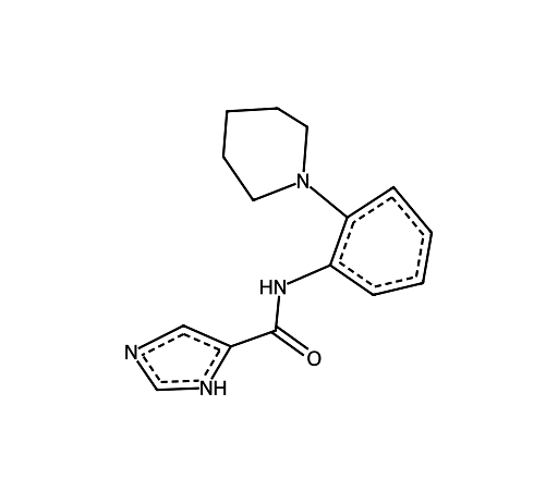 O=C(Nc1ccccc1N1CCCCC1)c1cnc[nH]1